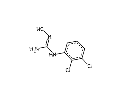 N#CN=C(N)Nc1cccc(Cl)c1Cl